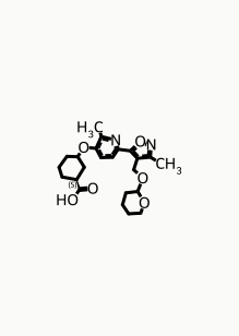 Cc1nc(-c2onc(C)c2COC2CCCCO2)ccc1OC1CCC[C@H](C(=O)O)C1